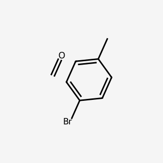 C=O.Cc1ccc(Br)cc1